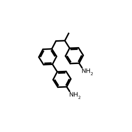 CC(Cc1cccc(-c2ccc(N)cc2)c1)c1ccc(N)cc1